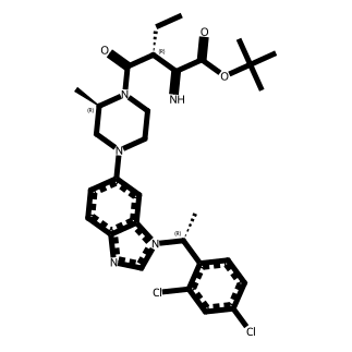 CC[C@H](C(=N)C(=O)OC(C)(C)C)C(=O)N1CCN(c2ccc3ncn([C@H](C)c4ccc(Cl)cc4Cl)c3c2)C[C@H]1C